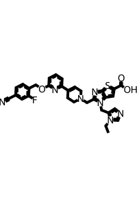 CCn1cncc1Cn1c(CN2CC=C(c3cccc(OCc4ccc(C#N)cc4F)n3)CC2)nc2sc(C(=O)O)cc21